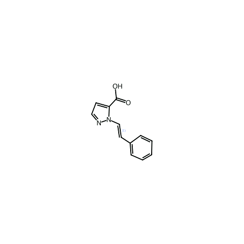 O=C(O)c1ccnn1/C=C/c1ccccc1